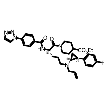 C=CCN(CCC[C@H](NC(=O)c1ccc(-n2ccnn2)cc1)C(=O)N1CCC(C(=O)OCC)CC1)[C@@H]1C[C@H]1c1ccc(F)cc1